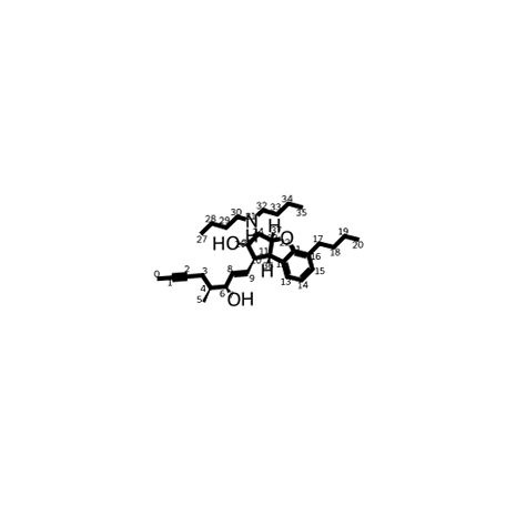 CC#CC[C@H](C)[C@H](O)C=C[C@@H]1[C@H]2c3cccc(CCCC)c3O[C@H]2C[C@H]1O.CCCCNCCCC